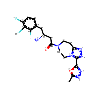 Cc1nnc(-c2nnc3n2CCN(C(=O)C[C@H](N)Cc2ccc(F)c(F)c2F)CC3)o1